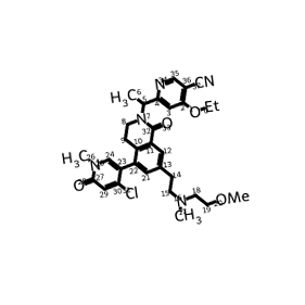 CCOc1cc(C(C)N2CCc3c(cc(CCN(C)CCOC)cc3-c3cn(C)c(=O)cc3Cl)C2=O)ncc1C#N